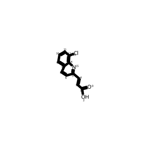 O=C(O)C=Cc1ccc2cccc(Cl)c2n1